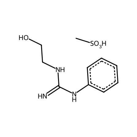 CS(=O)(=O)O.N=C(NCCO)Nc1ccccc1